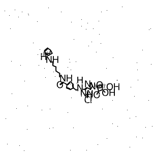 O=C(NCCCCCCNC1CC2C=C[C@H]1C2)c1ccc(CNc2nc(Cl)nc3c2ncn3[C@@H]2O[C@H](CO)C(O)C2O)cc1